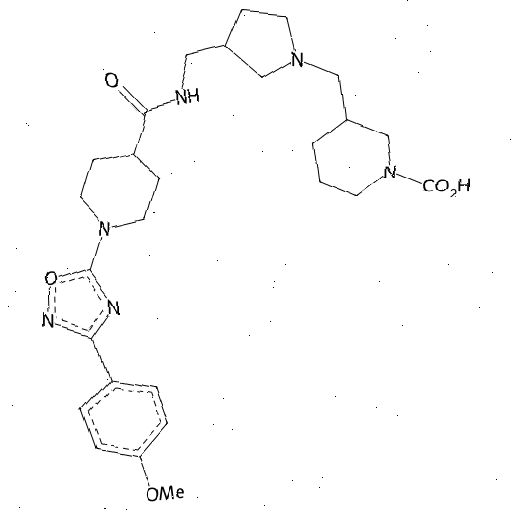 COc1ccc(-c2noc(N3CCC(C(=O)NCC4CCN(CC5CCCN(C(=O)O)C5)C4)CC3)n2)cc1